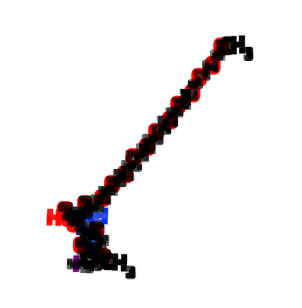 COCCOCCOCCOCCOCCOCCOCCOCCOCCOCCOCCOCCC(=O)NC(CC(=O)O)C(=O)NCN1C(=O)CCN(c2cc(I)ccc2OC)C1=O